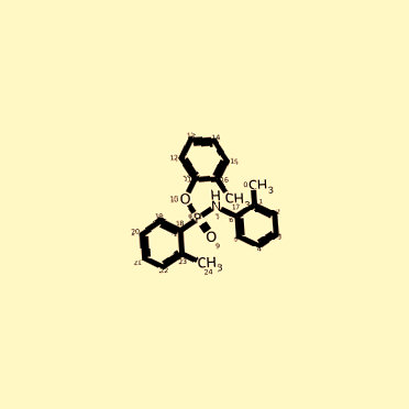 Cc1ccccc1NP(=O)(Oc1ccccc1C)c1ccccc1C